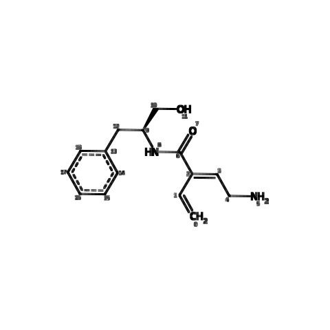 C=C/C(=C\CN)C(=O)N[C@H](CO)Cc1ccccc1